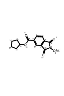 CC(=O)ON1C(=O)c2ccc(C(=O)OC3CCCC3)cc2C1=O